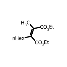 CCCCCCC(C(=O)OCC)=C(C)C(=O)OCC